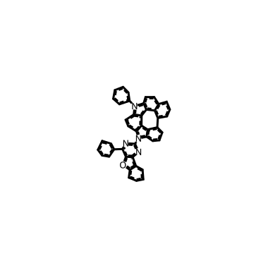 c1ccc(-c2nc(-n3c4cccc5c4c4c6c7c8c-5cccc8ccc7n(-c5ccccc5)c6ccc43)nc3c2oc2ccccc23)cc1